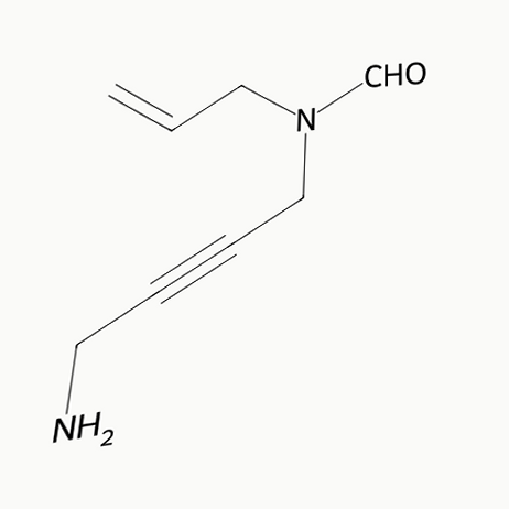 C=CCN(C=O)CC#CCN